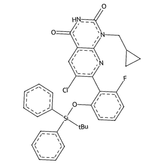 CC(C)(C)[Si](Oc1cccc(F)c1-c1nc2c(cc1Cl)c(=O)[nH]c(=O)n2CC1CC1)(c1ccccc1)c1ccccc1